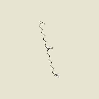 CCCCCCCCN([O])CCCCCCCC